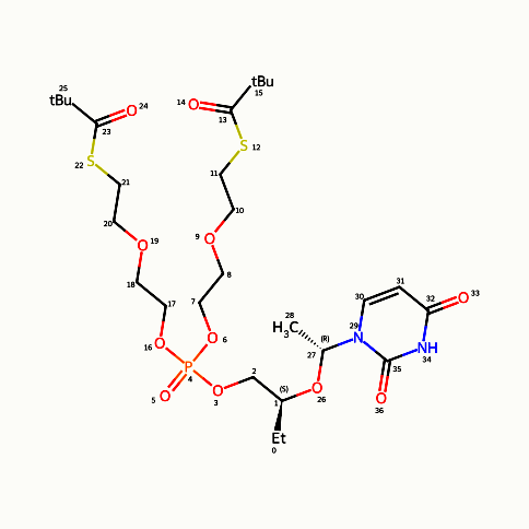 CC[C@@H](COP(=O)(OCCOCCSC(=O)C(C)(C)C)OCCOCCSC(=O)C(C)(C)C)O[C@H](C)n1ccc(=O)[nH]c1=O